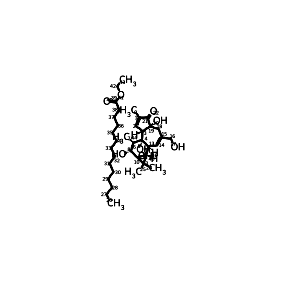 CC1=C[C@H]2[C@]3(O)[C@H](C)[C@@H](O)[C@@]4(O)[C@H]([C@@H]3C=C(CO)C[C@@]2(O)C1=O)C4(C)C.CCCCCCCCCCCCCC(=O)OCC